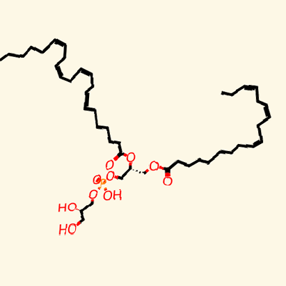 CC/C=C\C/C=C\C/C=C\CCCCCCCC(=O)OC[C@H](COP(=O)(O)OC[C@@H](O)CO)OC(=O)CCCCC/C=C\C/C=C\C/C=C\C/C=C\CCCCC